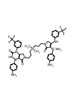 C[N+](C)(CCCN1CC(Nc2cccc(C(F)(F)F)c2)=C([C@H](N)c2ccc(N)cc2)C1=O)CCCN1CC2=C(C1=O)[C@@H](c1ccc(N)cc1)NC(=O)N2c1cccc(C(F)(F)F)c1